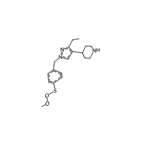 CCc1nn(Cc2ccc(SOOC)cc2)cc1C1CCNCC1